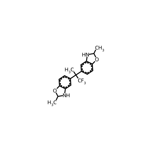 CC1Nc2cc(C(C)(c3ccc4c(c3)NC(C)O4)C(F)(F)F)ccc2O1